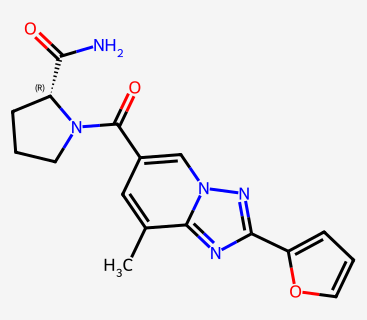 Cc1cc(C(=O)N2CCC[C@@H]2C(N)=O)cn2nc(-c3ccco3)nc12